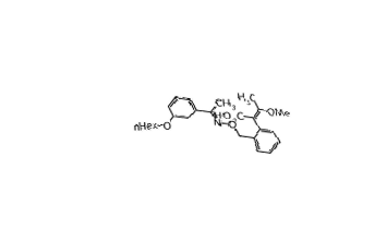 CCCCCCOc1cccc(/C(C)=N/OCc2ccccc2/C(C(=O)O)=C(/C)OC)c1